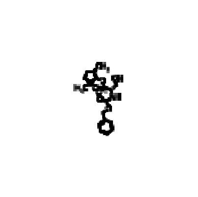 CC1CCC(C)(C)C1OC(=O)[C@@H](CO)NC(=O)OCc1ccccc1